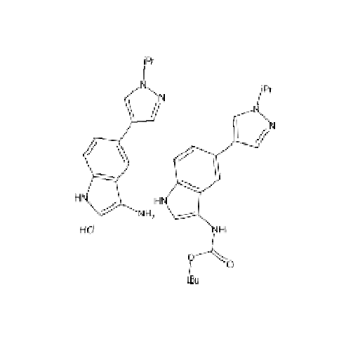 CC(C)n1cc(-c2ccc3[nH]cc(N)c3c2)cn1.CC(C)n1cc(-c2ccc3[nH]cc(NC(=O)OC(C)(C)C)c3c2)cn1.Cl